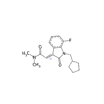 CN(C)C(=O)/C=C1/C(=O)N(CC2CCCC2)c2c(F)cccc21